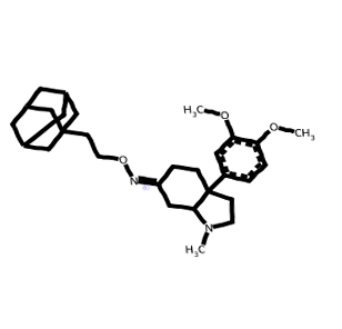 COc1ccc(C23CC/C(=N\OCCC45CC6CC(CC(C6)C4)C5)CC2N(C)CC3)cc1OC